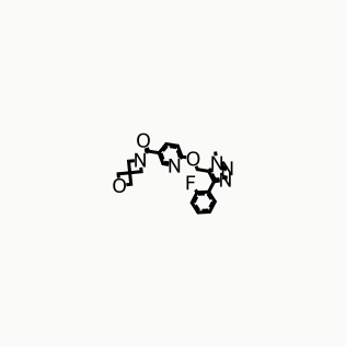 Cn1nnc(-c2ccccc2F)c1COc1ccc(C(=O)N2CC3(COC3)C2)cn1